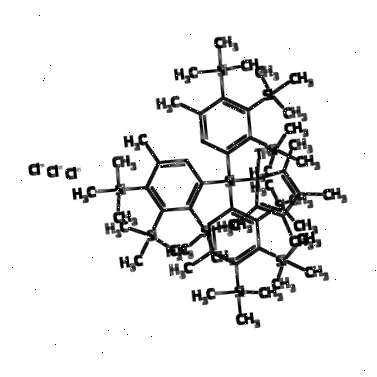 CC1=C(C)[C]([Ti+3])([Si](c2cc(C)c([Si](C)(C)C)c([Si](C)(C)C)c2[Si](C)(C)C)(c2cc(C)c([Si](C)(C)C)c([Si](C)(C)C)c2[Si](C)(C)C)c2cc(C)c([Si](C)(C)C)c([Si](C)(C)C)c2[Si](C)(C)C)C(C)=C1C.[Cl-].[Cl-].[Cl-]